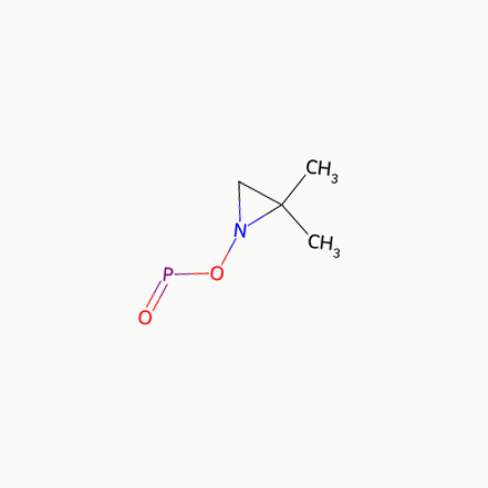 CC1(C)CN1OP=O